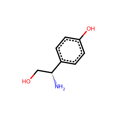 N[C@H](CO)c1ccc(O)cc1